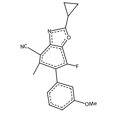 COc1cccc(-c2c(C)c(C#N)c3nc(C4CC4)oc3c2F)c1